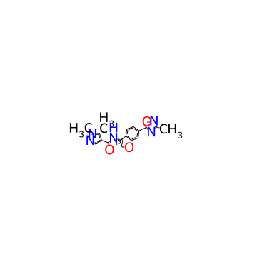 Cc1noc(-c2ccc3c(c2)OC[C@H]3NC(=O)c2cnn(C)c2C)n1